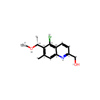 Cc1cc2nc(CO)ccc2c(Br)c1[C@@H](C)OC(C)(C)C